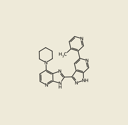 Cc1ccncc1-c1cc2c(-c3nc4c(N5CCCCC5)ccnc4[nH]3)n[nH]c2cn1